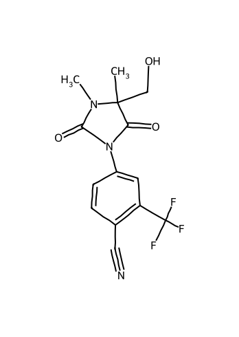 CN1C(=O)N(c2ccc(C#N)c(C(F)(F)F)c2)C(=O)C1(C)CO